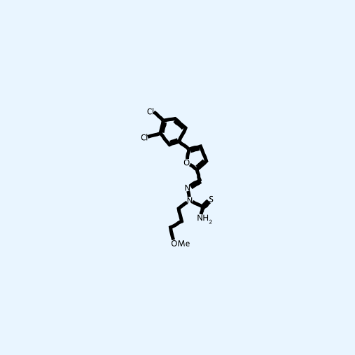 COCCCN(N=Cc1ccc(-c2ccc(Cl)c(Cl)c2)o1)C(N)=S